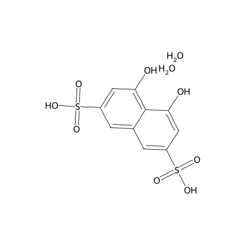 O.O.O=S(=O)(O)c1cc(O)c2c(O)cc(S(=O)(=O)O)cc2c1